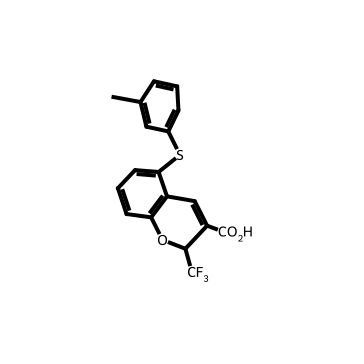 Cc1cccc(Sc2cccc3c2C=C(C(=O)O)C(C(F)(F)F)O3)c1